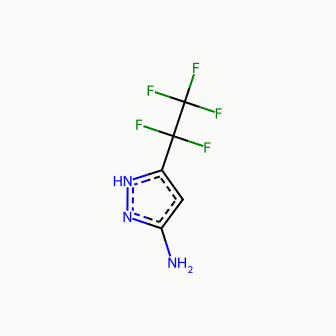 Nc1cc(C(F)(F)C(F)(F)F)[nH]n1